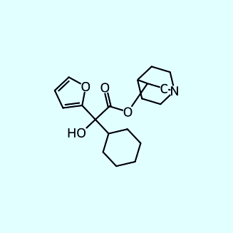 O=C(OC1CN2CCC1CC2)C(O)(c1ccco1)C1CCCCC1